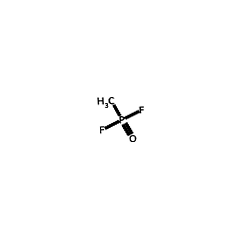 CP(=O)(F)F